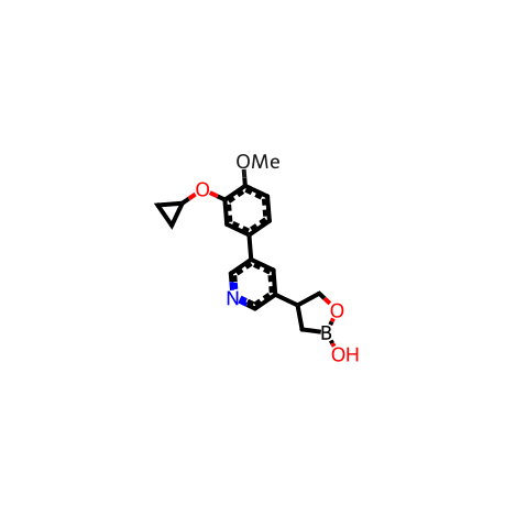 COc1ccc(-c2cncc(C3COB(O)C3)c2)cc1OC1CC1